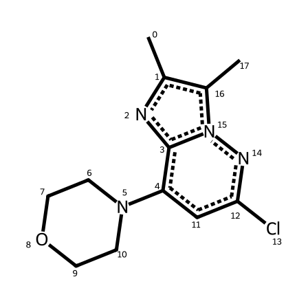 Cc1nc2c(N3CCOCC3)cc(Cl)nn2c1C